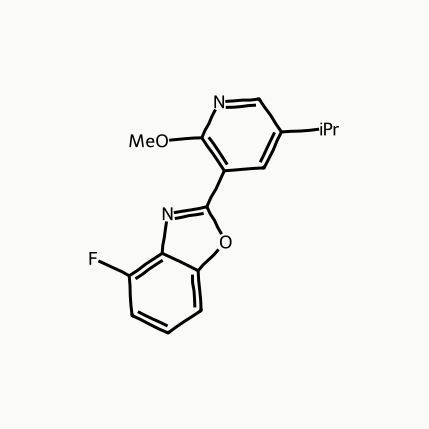 COc1ncc(C(C)C)cc1-c1nc2c(F)cccc2o1